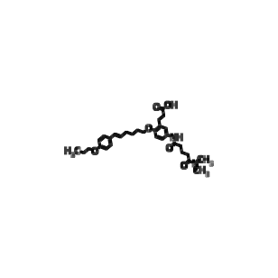 CCCOc1ccc(/C=C/CCCCOc2ccc(NC(=O)CCCC(=O)N(C)C)cc2CCC(=O)O)cc1